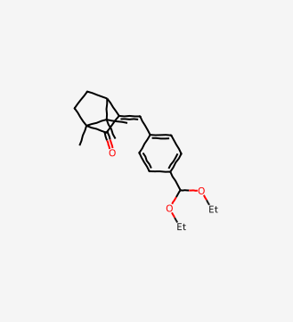 CCOC(OCC)c1ccc(/C=C2\C(=O)C3(C)CCC2C3(C)C)cc1